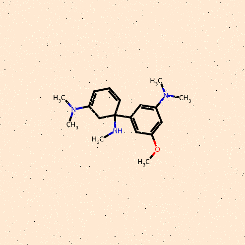 CNC1(c2cc(OC)cc(N(C)C)c2)C=CC=C(N(C)C)C1